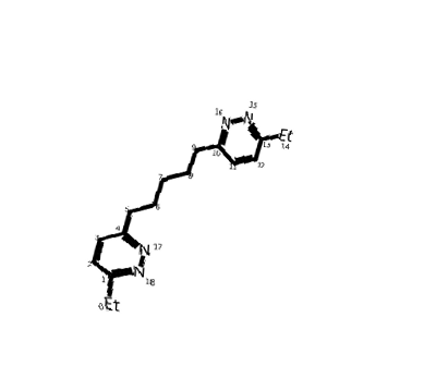 CCc1ccc(CCCCCc2ccc(CC)nn2)nn1